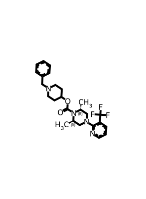 C[C@@H]1CN(c2ncccc2C(F)(F)F)C[C@@H](C)N1C(=O)OC1CCN(Cc2ccccc2)CC1